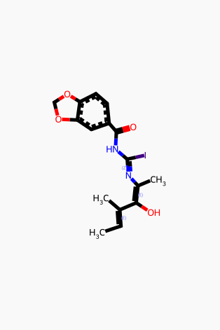 C/C=C(C)/C(O)=C(C)\N=C(/I)NC(=O)c1ccc2c(c1)OCO2